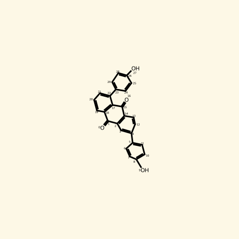 O=C1c2cc(-c3ccc(O)cc3)ccc2C(=O)c2c1cccc2-c1ccc(O)cc1